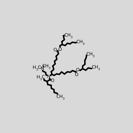 CCCCCCCC(CC)C(=O)N(CCCN(C)C)C(CCCCCCCCC(=O)OCC(CCCC)CCCCCC)CCCCCCCCC(=O)OCC(CCCC)CCCCCC